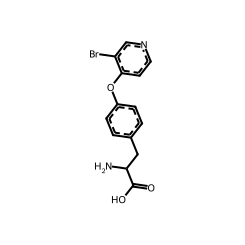 NC(Cc1ccc(Oc2ccncc2Br)cc1)C(=O)O